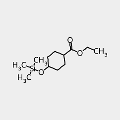 CCOC(=O)C1CCC(O[Si](C)(C)C)CC1